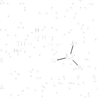 O.O.O.O.O.O.[Br][Nd]([Br])[Br]